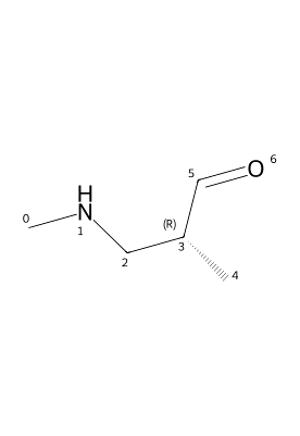 CNC[C@@H](C)C=O